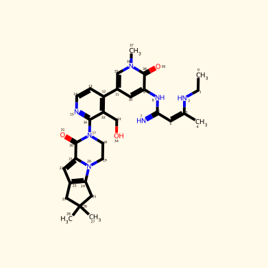 CCN/C(C)=C\C(=N)Nc1cc(-c2ccnc(N3CCn4c(cc5c4CC(C)(C)C5)C3=O)c2CO)cn(C)c1=O